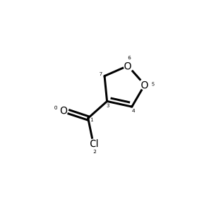 O=C(Cl)C1=COOC1